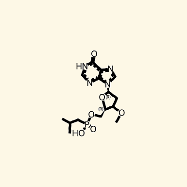 COC1C[C@H](n2cnc3c(=O)[nH]cnc32)O[C@@H]1COP(=O)(O)CC(C)C